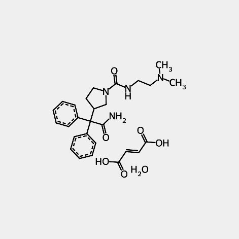 CN(C)CCNC(=O)N1CCC(C(C(N)=O)(c2ccccc2)c2ccccc2)C1.O.O=C(O)/C=C/C(=O)O